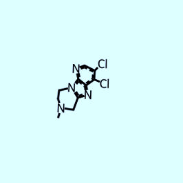 CN1CCn2c(nc3c(Cl)c(Cl)cnc32)C1